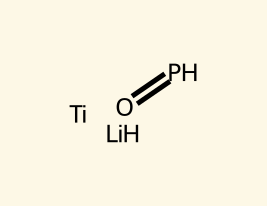 O=P.[LiH].[Ti]